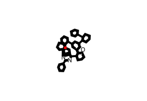 c1ccc(-c2cc(-c3cccc4oc5c(-c6ccccc6-c6ccccc6)cc(-c6ccccc6-c6ccccc6)cc5c34)nc(-c3ccccc3)n2)cc1